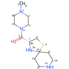 CN1CCN(C(=O)[C@@H]2CSC3(CCNCC3)N2)CC1